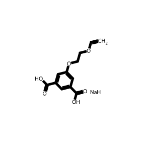 C=COCCOc1cc(C(=O)O)cc(C(=O)O)c1.[NaH]